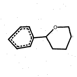 [C]1CCC(c2ccccc2)OC1